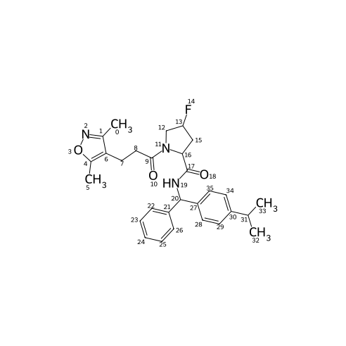 Cc1noc(C)c1CCC(=O)N1CC(F)CC1C(=O)NC(c1ccccc1)c1ccc(C(C)C)cc1